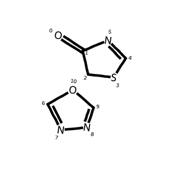 O=C1CSC=N1.c1nnco1